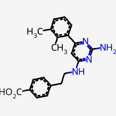 Cc1cccc(-c2cc(NCCc3ccc(C(=O)O)cc3)nc(N)n2)c1C